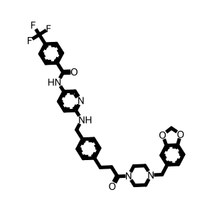 O=C(Nc1ccc(NCc2ccc(CCC(=O)N3CCN(Cc4ccc5c(c4)OCO5)CC3)cc2)nc1)c1ccc(C(F)(F)F)cc1